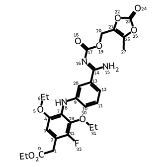 CCOC(=O)Cc1cc(OCC)c(Nc2cccc(C(N)=NC(=O)OCc3oc(=O)oc3C)c2)c(OCC)c1F